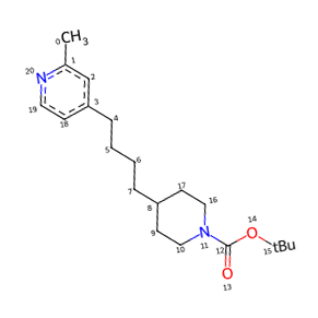 Cc1cc(CCCCC2CCN(C(=O)OC(C)(C)C)CC2)ccn1